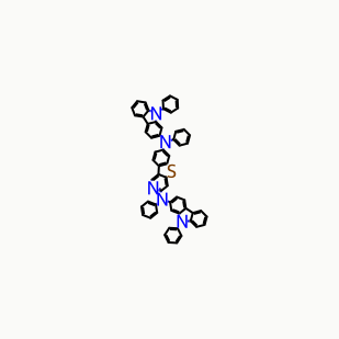 c1ccc(N(c2ccc3c(c2)sc2cc(N(c4ccccc4)c4ccc5c6ccccc6n(-c6ccccc6)c5c4)ncc23)c2ccc3c4ccccc4n(-c4ccccc4)c3c2)cc1